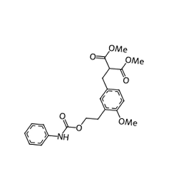 COC(=O)C(Cc1ccc(OC)c(CCOC(=O)Nc2ccccc2)c1)C(=O)OC